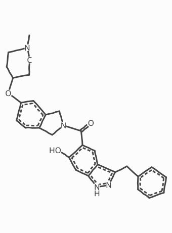 CN1CCC(Oc2ccc3c(c2)CN(C(=O)c2cc4c(Cc5ccccc5)n[nH]c4cc2O)C3)CC1